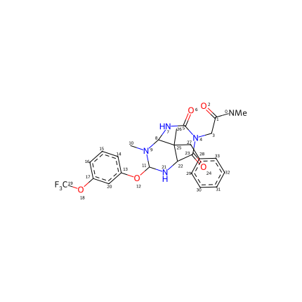 CNC(=O)CN1C(=O)NC2N(C)C(Oc3cccc(OC(F)(F)F)c3)NC(C1=O)C2(C)Cc1ccccc1